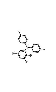 Cc1ccc(N(c2ccc(C)cc2)c2cc(F)cc(F)c2F)cc1